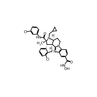 C[C@]1(C(=O)Nc2cccc(Cl)c2)[C@@H](c2cccc(Cl)c2F)[C@@H]2c3nc4cc(C(=O)NO)ccc4n3CC[C@@H]2N1CC1CC1